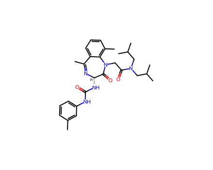 CC1=N[C@@H](NC(=O)Nc2cccc(C)c2)C(=O)N(CC(=O)N(CC(C)C)CC(C)C)c2c(C)cccc21